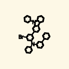 Brc1cc(-c2ccc3c4ccccc4n(-c4ccccc4)c3c2)cc(N(c2ccccc2)c2cccc(-c3ccccc3)c2)c1